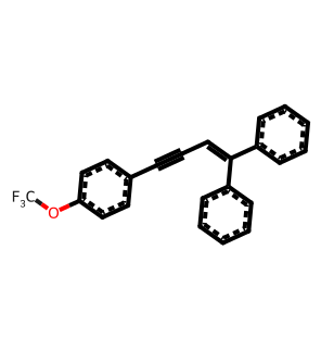 FC(F)(F)Oc1ccc(C#CC=C(c2ccccc2)c2ccccc2)cc1